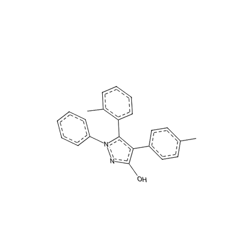 Cc1ccc(-c2c(O)nn(-c3ccccc3)c2-c2ccccc2C)cc1